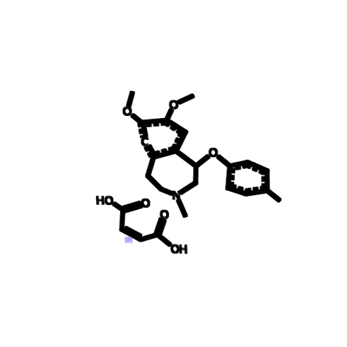 COc1cc2c(cc1OC)C(Oc1ccc(C)cc1)CN(C)CC2.O=C(O)/C=C\C(=O)O